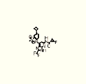 CS(=O)(=O)c1cc(C2CCC2)ccc1Nc1cc(NC(=O)[C@@H]2C[C@@H]2F)nc2[nH]c(C(F)F)nc12